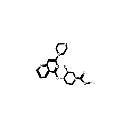 CC(C)(C)OC(=O)N1CC[C@H](Oc2nc(N3CCOCC3)cc3ncccc23)[C@@H](F)C1